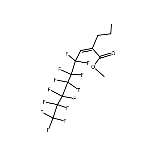 CCCC(=CC(F)(F)C(F)(F)C(F)(F)C(F)(F)C(F)(F)C(F)(F)F)C(=O)OC